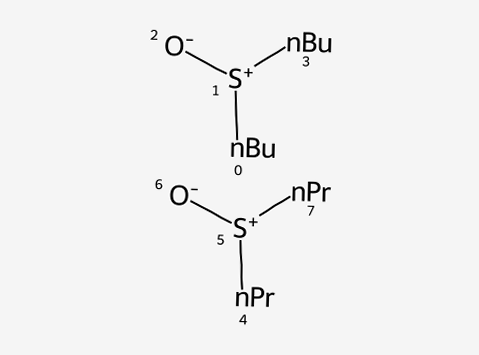 CCCC[S+]([O-])CCCC.CCC[S+]([O-])CCC